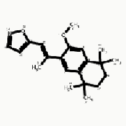 COc1cc2c(cc1/C(C)=C/c1ccno1)C(C)(C)CCC2(C)C